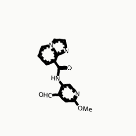 COc1cc(C=O)c(NC(=O)c2cccn3ccnc23)cn1